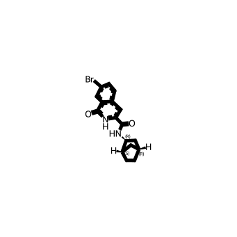 O=C(N[C@@H]1C[C@@H]2CC[C@H]1C2)c1cc2ccc(Br)cc2c(=O)[nH]1